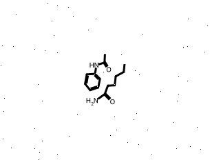 CC(=O)Nc1ccccc1.CCCCCC(N)=O